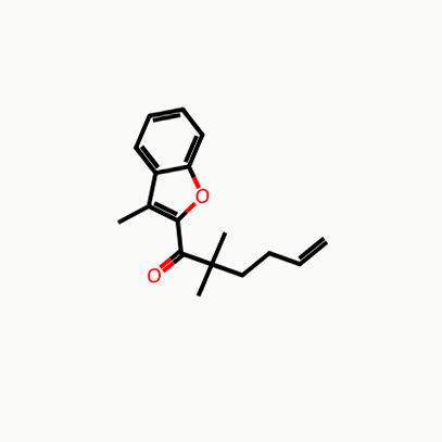 C=CCCC(C)(C)C(=O)c1oc2ccccc2c1C